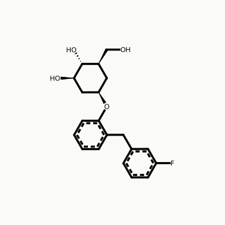 OC[C@H]1C[C@@H](Oc2ccccc2Cc2cccc(F)c2)C[C@@H](O)[C@@H]1O